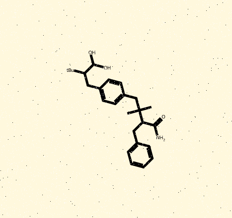 CC(C)(C)C(Cc1ccc(CC(C)(C)C(Cc2ccccc2)C(N)=O)cc1)C(O)O